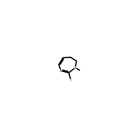 CN1CCC=CN=C1I